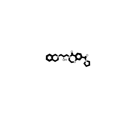 O=C(c1ccc2c(c1)OCCN(C[C@H](O)CN1CCc3ccccc3C1)C2=O)N1CCCC1